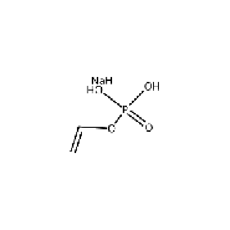 C=COP(=O)(O)O.[NaH]